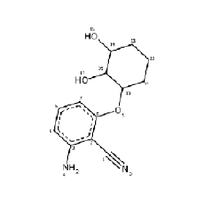 N#Cc1c(N)cccc1OC1CCCC(O)C1O